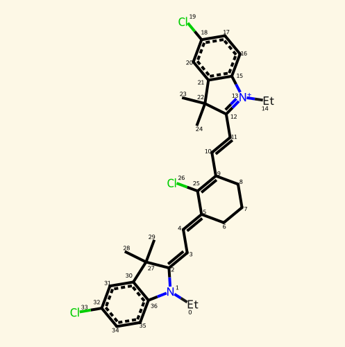 CCN1/C(=C/C=C2\CCCC(/C=C/C3=[N+](CC)c4ccc(Cl)cc4C3(C)C)=C2Cl)C(C)(C)c2cc(Cl)ccc21